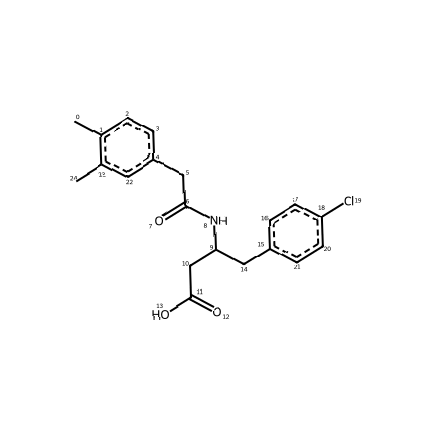 Cc1ccc(CC(=O)NC(CC(=O)O)Cc2ccc(Cl)cc2)cc1C